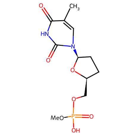 COP(=O)(O)OC[C@@H]1CC[C@H](n2cc(C)c(=O)[nH]c2=O)O1